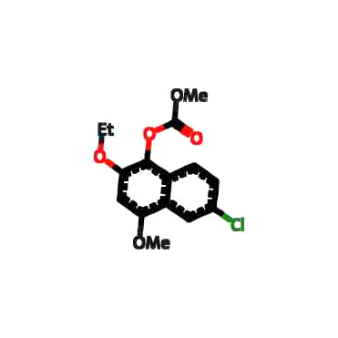 CCOc1cc(OC)c2cc(Cl)ccc2c1OC(=O)OC